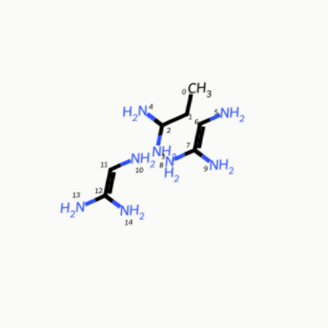 CCC(N)N.NC=C(N)N.NC=C(N)N